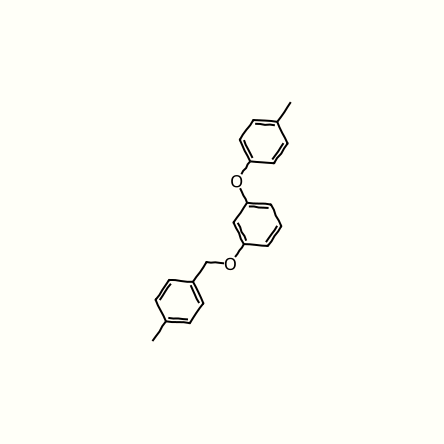 Cc1ccc(COc2cccc(Oc3ccc(C)cc3)c2)cc1